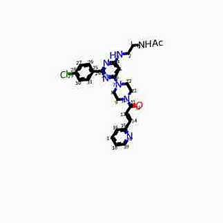 CC(=O)NCCNc1cc(N2CCN(C(=O)C=Cc3ccccn3)CC2)nc(-c2ccc(Cl)cc2)n1